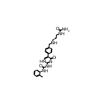 Cc1ccccc1NC(=O)Nc1nc(=O)c(-c2ccc(CNCCCNC(N)=O)cc2)c[nH]1